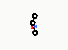 [c]1ccc(-c2nc3cc(C4CCCCC4)ccc3o2)cc1